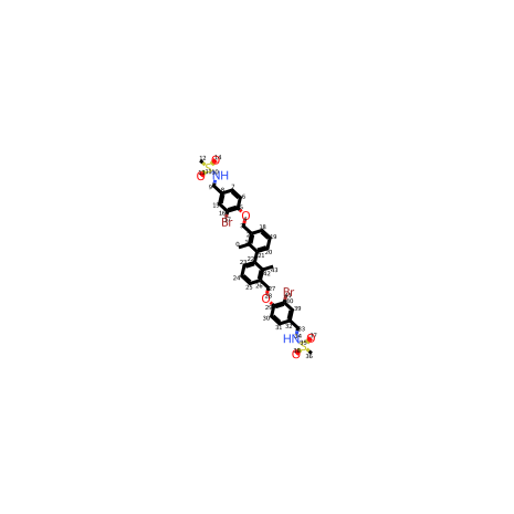 Cc1c(COc2ccc(CNS(C)(=O)=O)cc2Br)cccc1-c1cccc(COc2ccc(CNS(C)(=O)=O)cc2Br)c1C